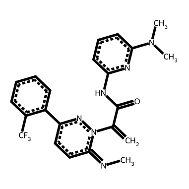 C=C(C(=O)Nc1cccc(N(C)C)n1)n1nc(-c2ccccc2C(F)(F)F)cc/c1=N/C